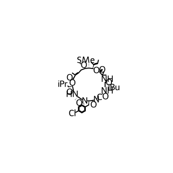 C/C=C(\C)[C@H]1OC(=O)C(C)(C)NC(=O)[C@H](C(C)CC)NC(=O)CN(C)C(=O)[C@@H](Cc2ccc(Cl)cc2)N(C)C(=O)[C@H](C)NC(=O)[C@@H](CC(C)C)OC(=O)/C(C)=C/C[C@H](OCSC)[C@@H]1C